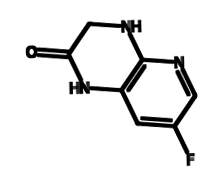 O=C1CNc2ncc(F)cc2N1